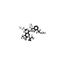 COc1c(=O)n(C2(C(F)F)CC2)cc2c(N[C@H](C)c3cccc(C(F)(F)CO)c3F)nc(C)nc12